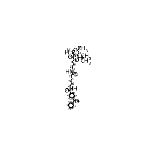 CC(C)CC(C(=O)C(C)C)N(C)C(=O)CCCCCNC(=O)CCCCCNC(=O)c1ccc(C(=O)c2ccccc2)cc1